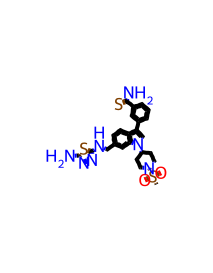 CS(=O)(=O)N1CCC(n2cc(-c3cccc(C(N)=S)c3)c3ccc(CNc4nnc(N)s4)cc32)CC1